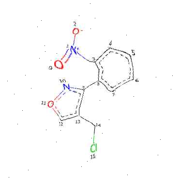 O=[N+]([O-])c1ccccc1-c1nocc1CCl